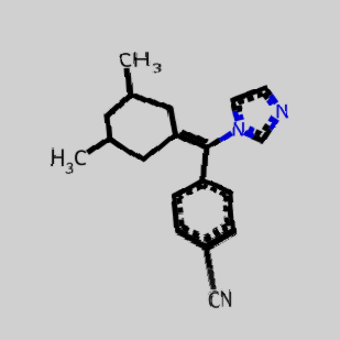 CC1CC(=C(c2ccc(C#N)cc2)n2ccnc2)CC(C)C1